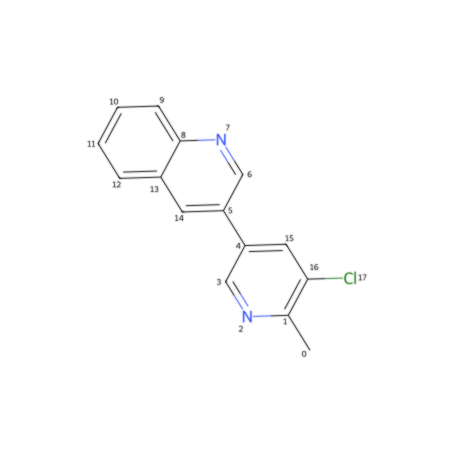 Cc1ncc(-c2cnc3ccccc3c2)cc1Cl